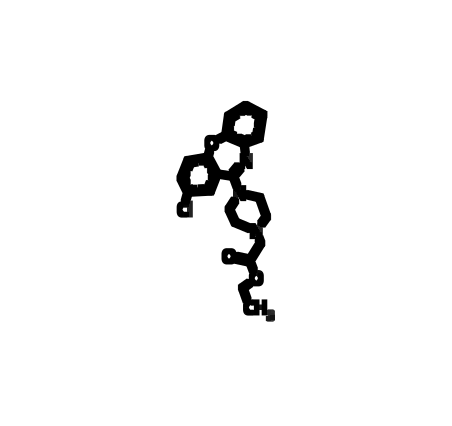 CCOC(=O)CN1CCN(C2=Nc3ccccc3Oc3ccc(Cl)cc32)CC1